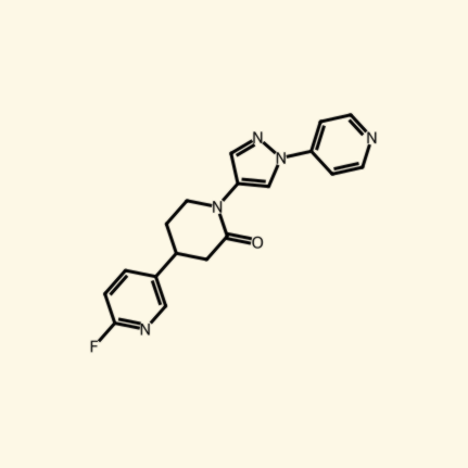 O=C1CC(c2ccc(F)nc2)CCN1c1cnn(-c2ccncc2)c1